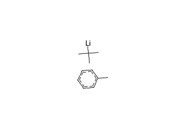 Cc1ccccc1.[Li][C](C)(C)C